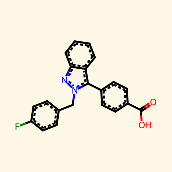 O=C(O)c1ccc(-c2c3ccccc3nn2Cc2ccc(F)cc2)cc1